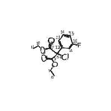 CCOC(=O)C(Cl)(C(=O)OCC)c1cccc(F)c1